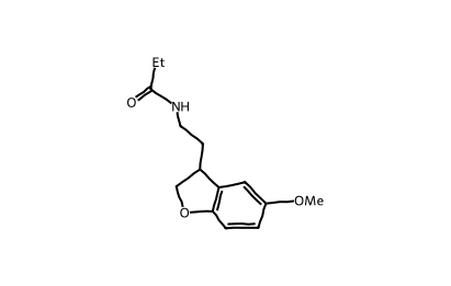 CCC(=O)NCCC1COc2ccc(OC)cc21